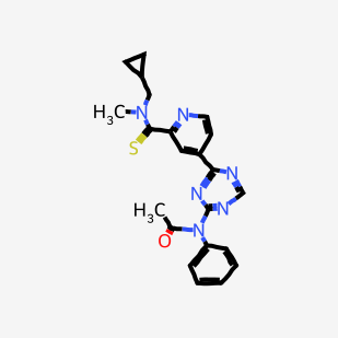 CC(=O)N(c1ccccc1)c1ncnc(-c2ccnc(C(=S)N(C)CC3CC3)c2)n1